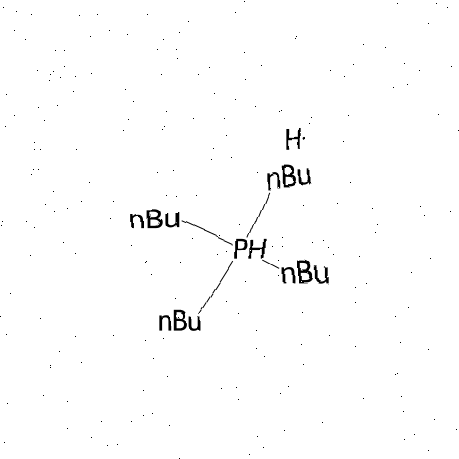 CCCC[PH](CCCC)(CCCC)CCCC.[H]